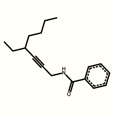 CCCCC(C#CCNC(=O)c1ccccc1)CC